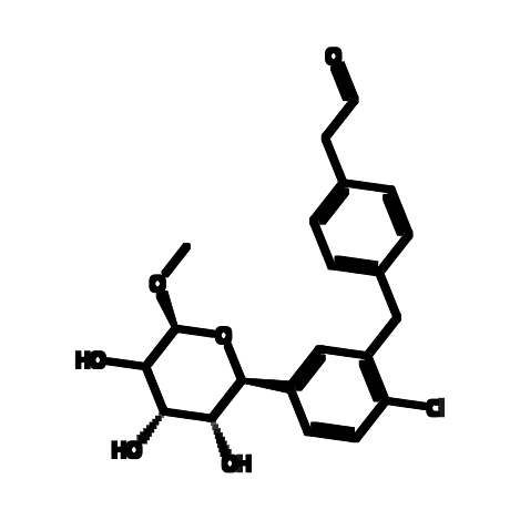 CO[C@H]1O[C@@H](c2ccc(Cl)c(Cc3ccc(CC=O)cc3)c2)[C@H](O)[C@H](O)C1O